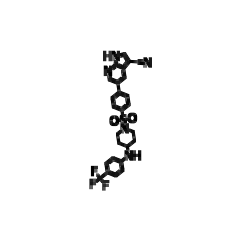 N#Cc1c[nH]c2ncc(-c3ccc(S(=O)(=O)N4CCC(Nc5ccc(C(F)(F)F)cc5)CC4)cc3)cc12